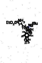 CCOC(=O)[C@@H](N)CCCCN/C(=N/OC(C)(C)C)NS(=O)(=O)c1c(C)c(C)c2c(c1C)CC(C)(C)O2